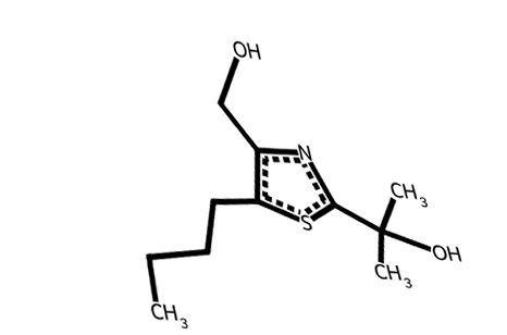 CCCCc1sc(C(C)(C)O)nc1CO